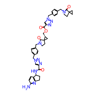 Nc1ccc2c(n1)CCC2NC(=O)c1cn(Cc2ccc(CN3CCC4(C[C@@H]4COC(=O)c4cn(Cc5ccc(CN6CCC7(CC7)C6=O)cc5)nn4)C3=O)cc2)nn1